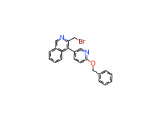 BrCc1ncc2ccccc2c1-c1ccc(OCc2ccccc2)nc1